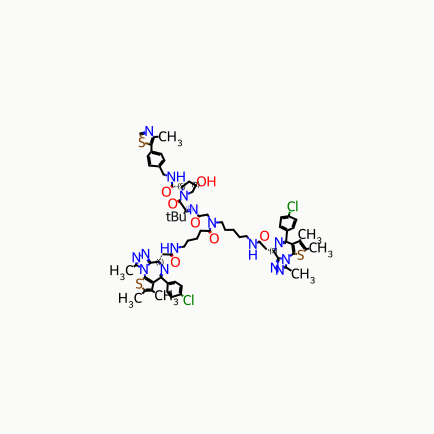 Cc1ncsc1-c1ccc(CNC(=O)[C@@H]2C[C@@H](O)CN2C(=O)/C(=N/C(=O)CN(CCCCCNC(=O)C[C@@H]2N=C(c3ccc(Cl)cc3)c3c(sc(C)c3C)-n3c(C)nnc32)C(=O)CCCCNC(=O)C[C@@H]2N=C(c3ccc(Cl)cc3)c3c(sc(C)c3C)-n3c(C)nnc32)C(C)(C)C)cc1